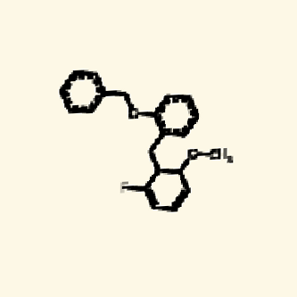 COC1C=CC=C(F)[C]1Cc1ccccc1OCc1ccccc1